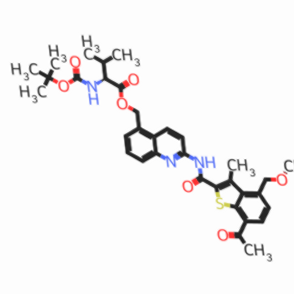 COCc1ccc(C(C)=O)c2sc(C(=O)Nc3ccc4c(COC(=O)[C@@H](NC(=O)OC(C)(C)C)C(C)C)cccc4n3)c(C)c12